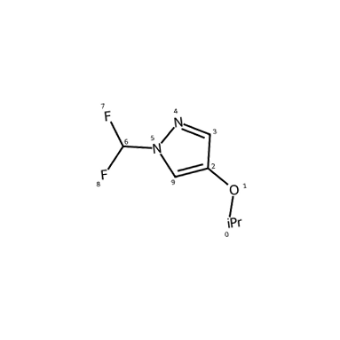 CC(C)Oc1cnn(C(F)F)c1